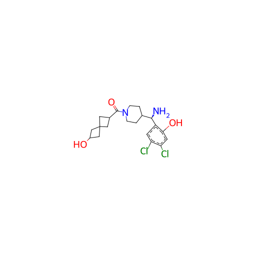 N[C@@H](c1cc(Cl)c(Cl)cc1O)C1CCN(C(=O)C2CC3(CC(O)C3)C2)CC1